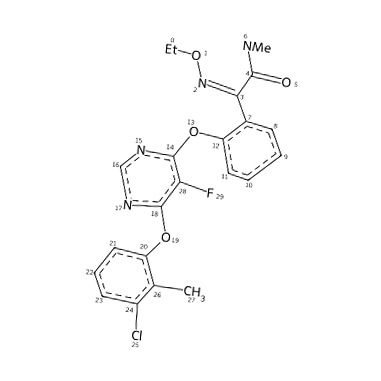 CCON=C(C(=O)NC)c1ccccc1Oc1ncnc(Oc2cccc(Cl)c2C)c1F